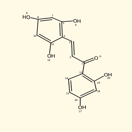 O=C(/C=C/c1c(O)cc(O)cc1O)c1ccc(O)cc1O